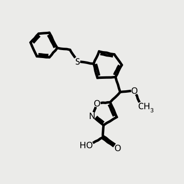 COC(c1cccc(SCc2ccccc2)c1)c1cc(C(=O)O)no1